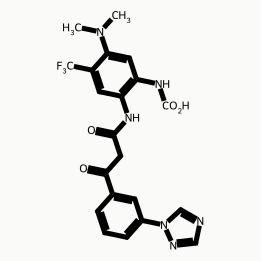 CN(C)c1cc(NC(=O)O)c(NC(=O)CC(=O)c2cccc(-n3cncn3)c2)cc1C(F)(F)F